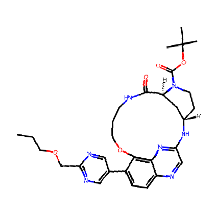 CCCOCc1ncc(-c2ccc3ncc4nc3c2OCCCNC(=O)[C@@H]2C[C@H](CCN2C(=O)OC(C)(C)C)N4)cn1